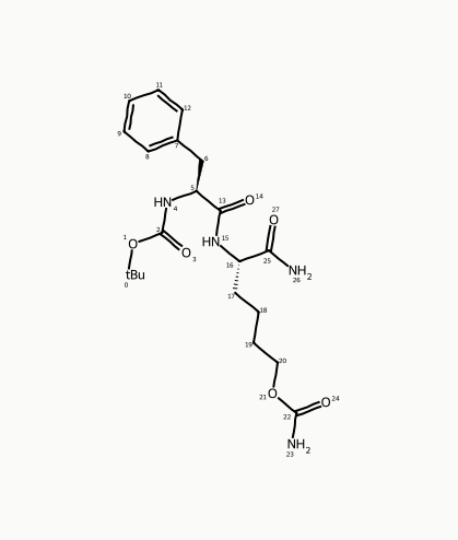 CC(C)(C)OC(=O)N[C@@H](Cc1ccccc1)C(=O)N[C@@H](CCCCOC(N)=O)C(N)=O